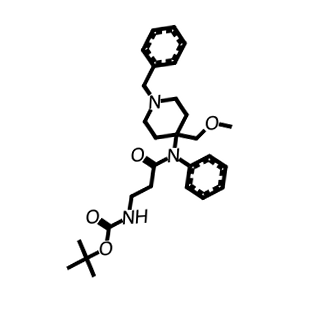 COCC1(N(C(=O)CCNC(=O)OC(C)(C)C)c2ccccc2)CCN(Cc2ccccc2)CC1